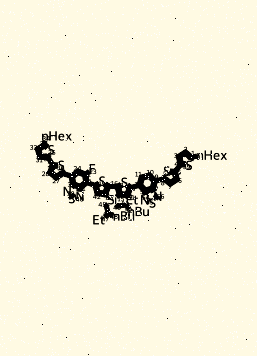 CCCCCCc1ccc(-c2ccc(-c3ccc(-c4cc5c(s4)-c4sc(-c6c(F)cc(-c7ccc(-c8ccc(CCCCCC)s8)s7)c7nsnc67)cc4[Si]5(CC(CC)CCCC)CC(CC)CCCC)c4nsnc34)s2)s1